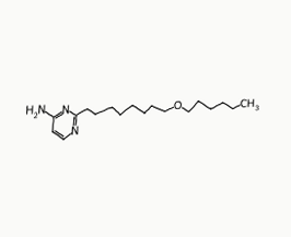 CCCCCCOCCCCCCCCc1nccc(N)n1